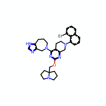 CCc1cccc2cccc(N3CCc4c(nc(OCC56CCCN5CCC6)nc4N4CCCc5[nH]cnc5C4)C3)c12